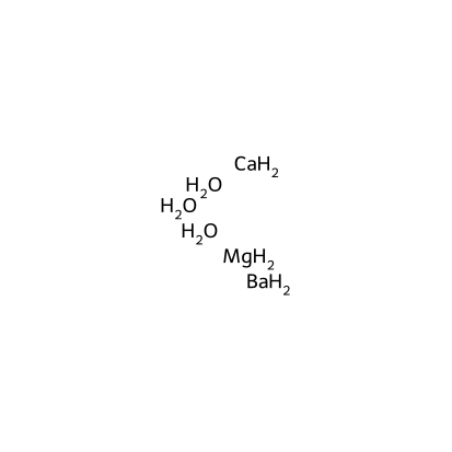 O.O.O.[BaH2].[CaH2].[MgH2]